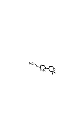 CC1(C)CC(c2ccc(CCC#N)nn2)CCO1